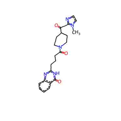 Cn1ccnc1C(=O)C1CCN(C(=O)CCCc2nc3ccccc3c(=O)[nH]2)CC1